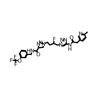 Cc1ccc(CC(=O)Nc2cn(CC(F)CCN3CC(C(=O)NCc4cccc(OC(F)(F)F)c4)N=N3)nn2)cn1